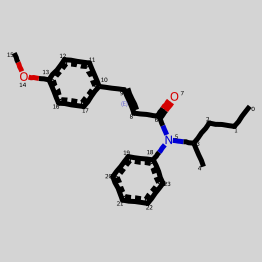 CCCC(C)N(C(=O)/C=C/c1ccc(OC)cc1)c1ccccc1